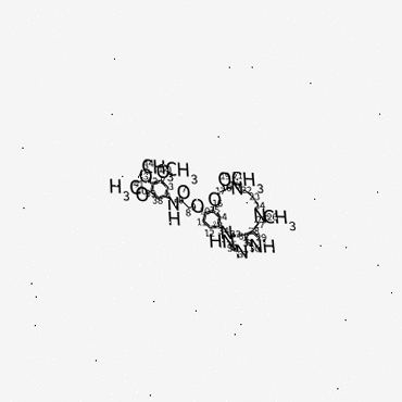 COc1cc(NC(=O)COc2ccc3cc2OCC(=O)N(C)CCCN(C)Cc2c[nH]c4c2/C(=N\3)NC=N4)cc(OC)c1OC